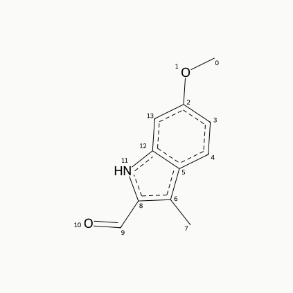 COc1ccc2c(C)c(C=O)[nH]c2c1